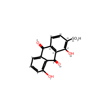 O=C1c2cccc(O)c2C(=O)c2c1ccc(S(=O)(=O)O)c2O